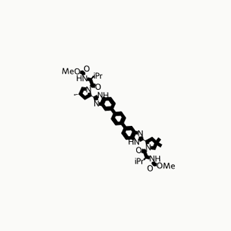 COC(=O)N[C@H](C(=O)N1C[C@@H](C)C[C@H]1c1nc2cc(-c3ccc(-c4ccc5[nH]c([C@@H]6CC(C)(C)CN6C(=O)[C@@H](NC(=O)OC)C(C)C)nc5c4)cc3)ccc2[nH]1)C(C)C